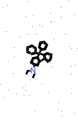 CCN(CC)c1ccc2c(c1)-c1ccccc1C2(c1ccccc1)c1ccccc1